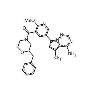 COc1ncc(-c2cc(C(F)(F)F)c3c(N)ncnn23)cc1C(=O)N1CCOC(Cc2ccccc2)C1